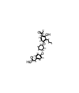 CCCc1c(O[C@@H]2CCC[C@@H](Oc3ccc(CC(=O)O)cc3)C2)ccc(C(C)=O)c1O